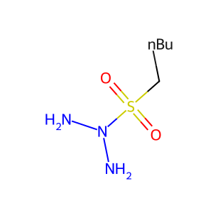 CCCCCS(=O)(=O)N(N)N